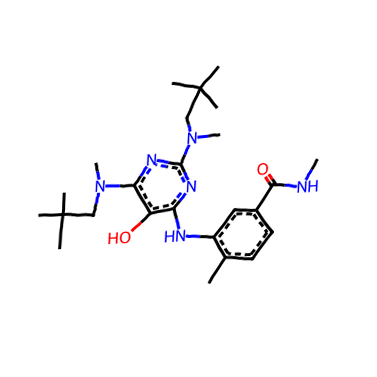 CNC(=O)c1ccc(C)c(Nc2nc(N(C)CC(C)(C)C)nc(N(C)CC(C)(C)C)c2O)c1